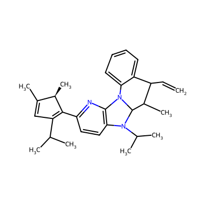 C=CC1c2ccccc2N2c3nc(C4=C(C(C)C)C=C(C)[C@H]4C)ccc3N(C(C)C)C2C1C